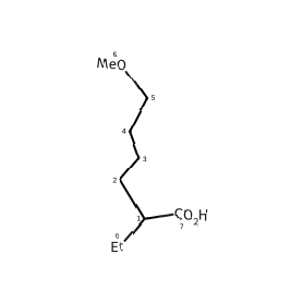 CCC(CCCCOC)C(=O)O